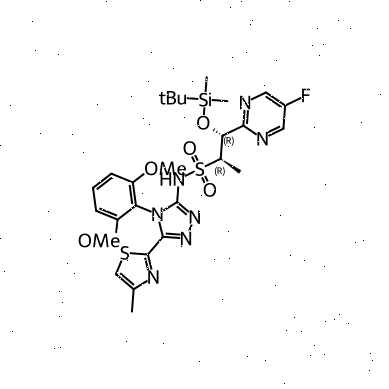 COc1cccc(OC)c1-n1c(NS(=O)(=O)[C@H](C)[C@H](O[Si](C)(C)C(C)(C)C)c2ncc(F)cn2)nnc1-c1nc(C)cs1